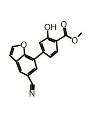 COC(=O)c1ccc(-c2cc(C#N)cc3ccoc23)cc1O